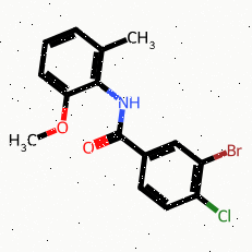 COc1cccc(C)c1NC(=O)c1ccc(Cl)c(Br)c1